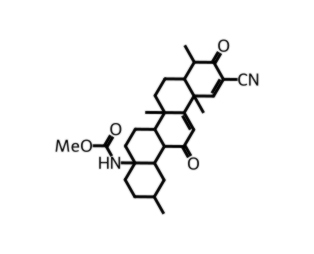 COC(=O)NC12CCC(C)CC1C1C(=O)C=C3C4(C)C=C(C#N)C(=O)C(C)C4CCC3(C)C1CC2